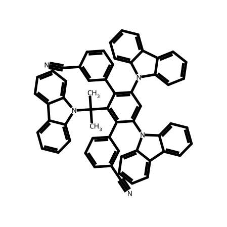 CC(C)(c1c(-c2cccc(C#N)c2)c(-n2c3ccccc3c3ccccc32)cc(-n2c3ccccc3c3ccccc32)c1-c1cccc(C#N)c1)n1c2ccccc2c2ccccc21